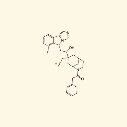 CCC1(C(O)CC2c3c(F)cccc3-c3cncn32)CC2CCN(C(=O)Cc3ccccc3)C(C2)C1